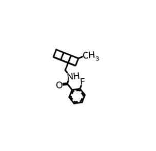 CC1C2C3CC4C1C2(CNC(=O)c1ccccc1F)C34